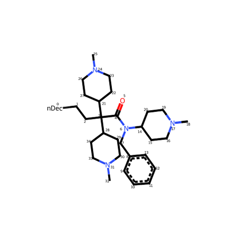 CCCCCCCCCCCCC(C(=O)N(Cc1ccccc1)C1CCN(C)CC1)(C1CCN(C)CC1)C1CCN(C)CC1